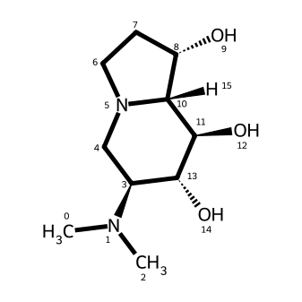 CN(C)[C@H]1CN2CC[C@H](O)[C@@H]2[C@@H](O)[C@@H]1O